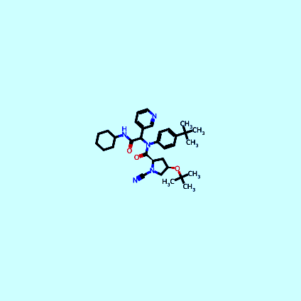 CC(C)(C)O[C@@H]1C[C@H](C(=O)N(c2ccc(C(C)(C)C)cc2)C(C(=O)NC2CCCCC2)c2cccnc2)N(C#N)C1